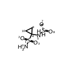 NS(=O)(=O)C1(N[SH](=O)=O)CC1